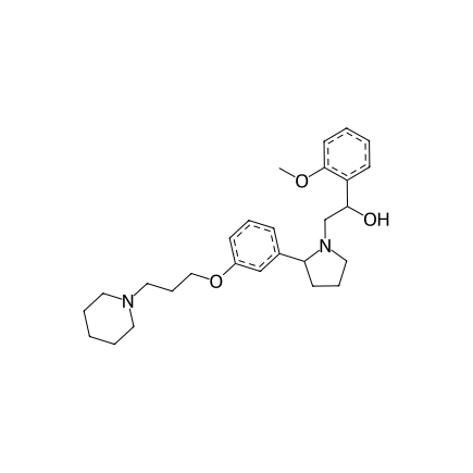 COc1ccccc1C(O)CN1CCCC1c1cccc(OCCCN2CCCCC2)c1